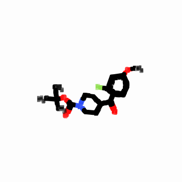 COc1ccc(C(=O)C2CCN(C(=O)OC(C)(C)C)CC2)c(F)c1